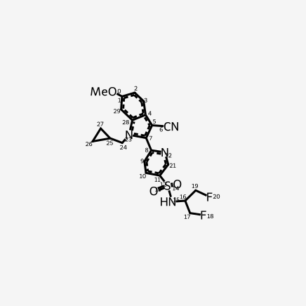 COc1ccc2c(C#N)c(-c3ccc(S(=O)(=O)NC(CF)CF)cn3)n(CC3CC3)c2c1